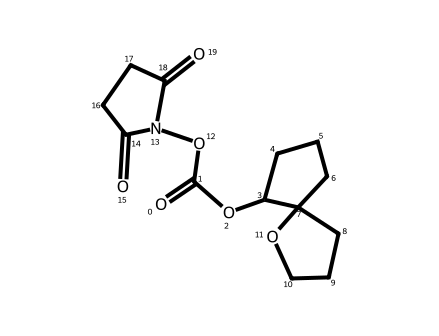 O=C(OC1CCCC12CCCO2)ON1C(=O)CCC1=O